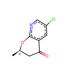 C[C@@H]1CC(=O)c2cc(Cl)cnc2O1